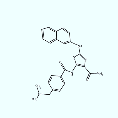 CN(C)Cc1ccc(C(=O)Nc2sc(Nc3ccc4ccccc4c3)nc2C(N)=O)cc1